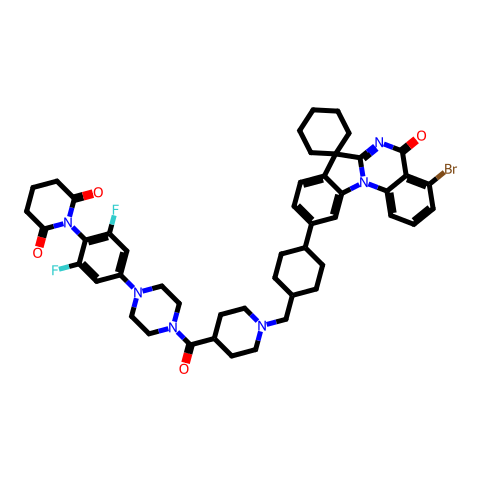 O=C(C1CCN(CC2CCC(c3ccc4c(c3)-n3c(nc(=O)c5c(Br)cccc53)C43CCCCC3)CC2)CC1)N1CCN(c2cc(F)c(N3C(=O)CCCC3=O)c(F)c2)CC1